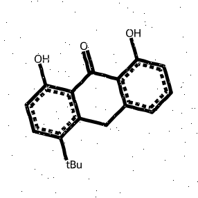 CC(C)(C)c1ccc(O)c2c1Cc1cccc(O)c1C2=O